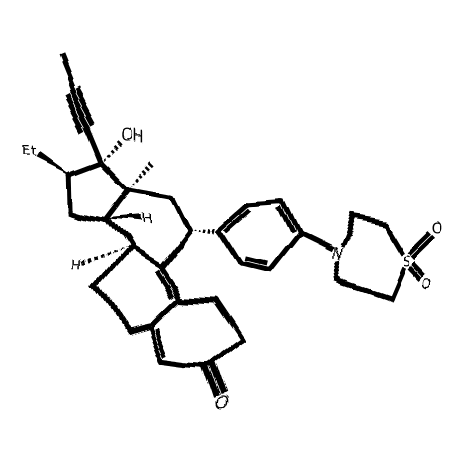 CC#C[C@]1(O)[C@H](CC)C[C@H]2[C@@H]3CCC4=CC(=O)CCC4=C3[C@@H](c3ccc(N4CCS(=O)(=O)CC4)cc3)C[C@@]21C